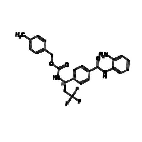 Cc1ccc(COC(=O)N[C@H](CC(F)(F)F)c2ccc(C(=O)Nc3ccccc3N)cc2)cc1